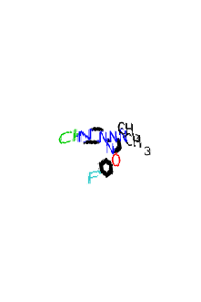 CN(C)c1cc(Oc2ccc(F)cc2)nc(N2CCN(Cl)CC2)n1